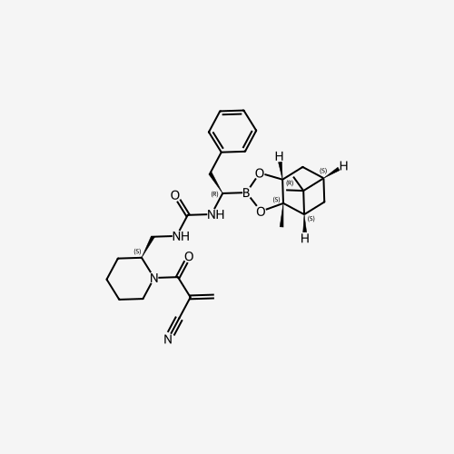 C=C(C#N)C(=O)N1CCCC[C@H]1CNC(=O)N[C@@H](Cc1ccccc1)B1O[C@@H]2C[C@@H]3C[C@@H](C3(C)C)[C@]2(C)O1